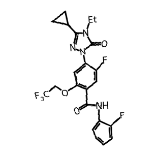 CCn1c(C2CC2)nn(-c2cc(OCC(F)(F)F)c(C(=O)Nc3ccccc3F)cc2F)c1=O